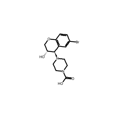 O=C(O)N1CCN([C@@H]2c3cc(Br)ccc3OC[C@H]2O)CC1